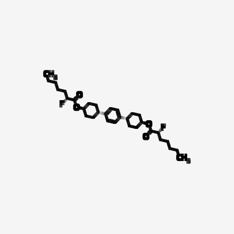 CCCCC[C@@H](F)C(=O)O[C@H]1CC[C@H](c2ccc([C@H]3CC[C@H](OC(=O)[C@H](F)CCCCC)CC3)cc2)CC1